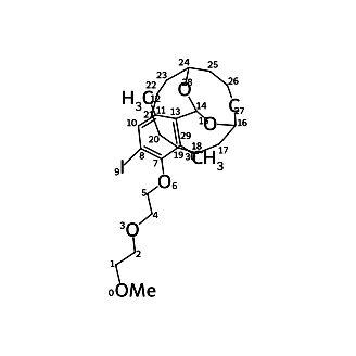 COCCOCCOc1c(I)cc(C)c(C2OC3CCCCCCCC(CCC3)O2)c1C